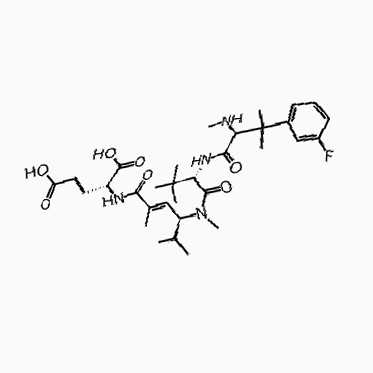 CN[C@H](C(=O)N[C@H](C(=O)N(C)[C@H](/C=C(\C)C(=O)N[C@H](CCC(=O)O)C(=O)O)C(C)C)C(C)(C)C)C(C)(C)c1cccc(F)c1